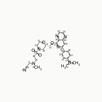 CN(CC#N)CCS(=O)(=O)N1CCO[C@H](COc2nc(-c3ccc(N(C)C)cc3)cc3nccnc23)C1